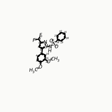 COc1ccc(-c2cc(C(F)F)nn2NS(=O)(=O)c2ccccc2)cc1OC